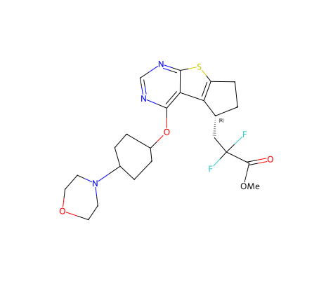 COC(=O)C(F)(F)C[C@H]1CCc2sc3ncnc(OC4CCC(N5CCOCC5)CC4)c3c21